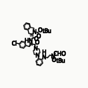 CC(C)(C)OC(=O)N1Cc2ccccc2C[C@H]1C(=O)N[C@H](Cc1ccc(Cl)cc1)C(=O)N1CCN(c2ccccc2NCCN(C=O)OC(C)(C)C)CC1